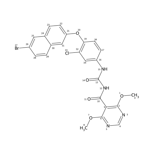 COc1ncnc(OC)c1C(=O)NC(=O)Nc1ccc(Oc2ccc3cc(Br)ccc3c2)c(Cl)c1